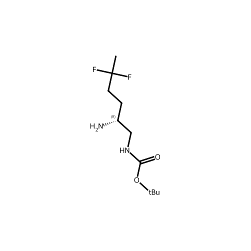 CC(F)(F)CC[C@@H](N)CNC(=O)OC(C)(C)C